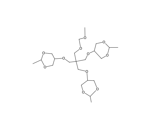 COCOCC(COC1COC(C)OC1)(COC1COC(C)OC1)COC1COC(C)OC1